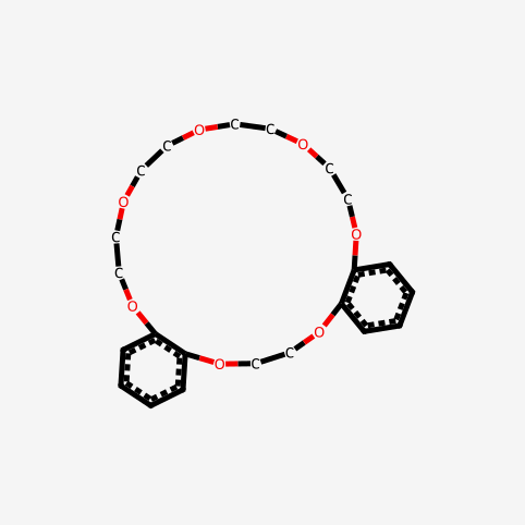 c1ccc2c(c1)OCCOCCOCCOCCOc1ccccc1OCCO2